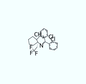 C[C@@]12CCCC[C@]1(CC(F)(F)F)N=C(c1ccccc1Cl)c1c(Cl)cccc12